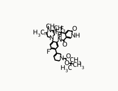 C[C@@H]1CN(c2cc(F)c(C3=CCCN(C(=O)OC(C)(C)C)C3)cc2NC(=O)c2c[nH]c(=O)cc2C(F)(F)F)C[C@H](C)N1C